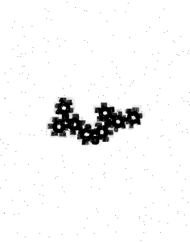 c1ccc(-c2ccc3c(c2)c2ccccc2n3-c2ccc3oc4ccc(-c5ccc6c(c5)c5ccccc5n6-c5ccccc5)cc4c3c2)cc1